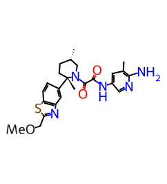 COCc1nc2cc([C@]3(C)CC[C@H](C)CN3C(=O)C(=O)Nc3cnc(N)c(C)c3)ccc2s1